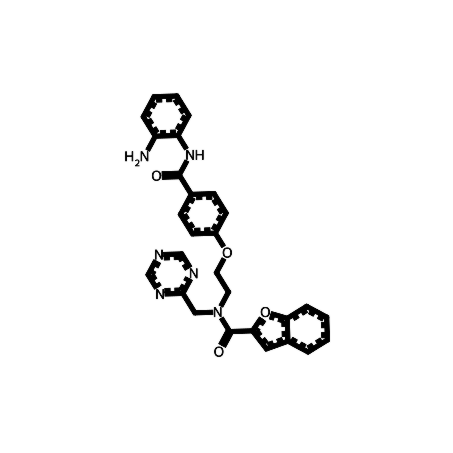 Nc1ccccc1NC(=O)c1ccc(OCCN(Cc2ncncn2)C(=O)c2cc3ccccc3o2)cc1